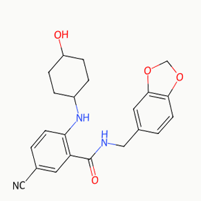 N#Cc1ccc(NC2CCC(O)CC2)c(C(=O)NCc2ccc3c(c2)OCO3)c1